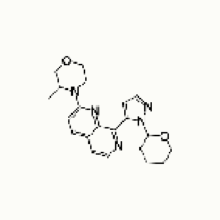 C[C@@H]1COCCN1c1ccc2ccnc(-c3ccnn3C3CCCCO3)c2n1